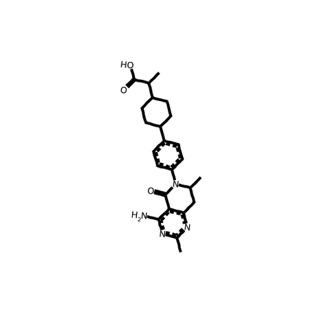 Cc1nc(N)c2c(n1)CC(C)N(c1ccc(C3CCC(C(C)C(=O)O)CC3)cc1)C2=O